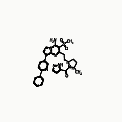 C[C@@H]1CC[C@H](CCc2nc3c(-c4ccc(-c5ccccc5)nc4)ccn3c(N)c2S(C)(=O)=O)N1C(=O)c1ccn[nH]1